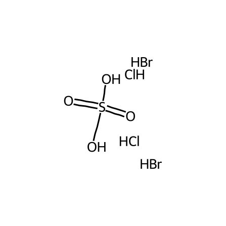 Br.Br.Cl.Cl.O=S(=O)(O)O